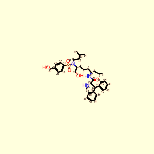 CCC[C@@H](CCC[C@@H](CO)N(CCC(C)C)S(=O)(=O)c1ccc(CO)cc1)NC(=O)[C@@H](NC)C(c1ccccc1)c1ccccc1